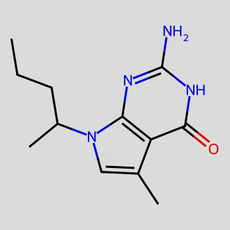 CCCC(C)n1cc(C)c2c(=O)[nH]c(N)nc21